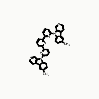 Cc1ccc2c(c1)c1ccncc1n2-c1cccc(-c2cccc(-c3cccc(-n4c5ccc(C)cc5c5ccncc54)n3)n2)n1